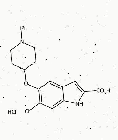 CC(C)N1CCC(Oc2cc3cc(C(=O)O)[nH]c3cc2Cl)CC1.Cl